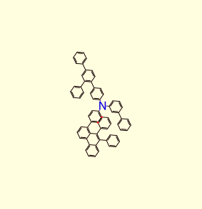 c1ccc(-c2cccc(N(c3ccc(-c4ccc(-c5ccccc5)cc4-c4ccccc4)cc3)c3ccc(-c4cccc5c4c(-c4ccccc4)c(-c4ccccc4)c4ccccc45)cc3)c2)cc1